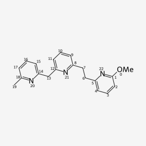 COc1cccc(CCc2cccc(Cc3cccc(C)n3)n2)n1